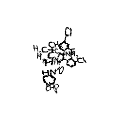 Cn1ccc(NC(=O)[C@@H]2N[C@@H](CC(C)(C)C)[C@](N)(c3ccc(Cl)cc3F)[C@H]2c2cccc(Cl)c2F)cc1=O